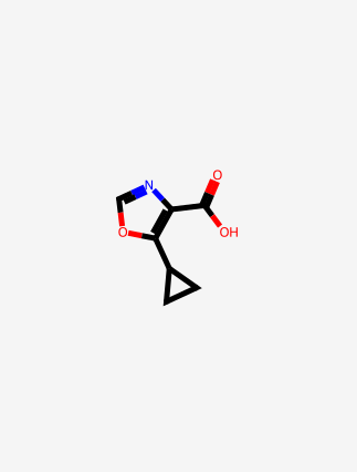 O=C(O)c1ncoc1C1CC1